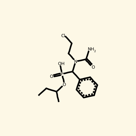 CCC(C)OP(=O)(O)C(c1ccccc1)N(CCCl)C(N)=O